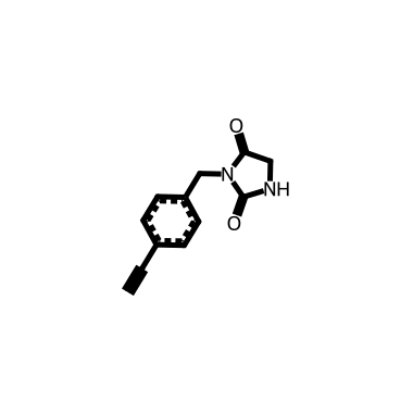 C#Cc1ccc(CN2C(=O)CNC2=O)cc1